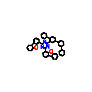 c1ccc(-c2cccc(-c3ccc(-c4ccccc4)c(-c4nc(-c5cccc6c5oc5ccccc56)nc(-c5cccc6c5oc5ccccc56)n4)c3)c2)cc1